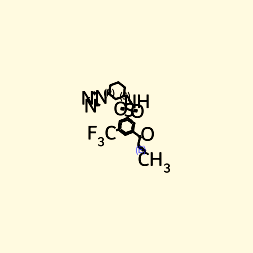 C/C=C/C(=O)c1cc(C(F)(F)F)cc(S(=O)(=O)N[C@H]2CCC[C@@H](n3cnnc3)C2)c1